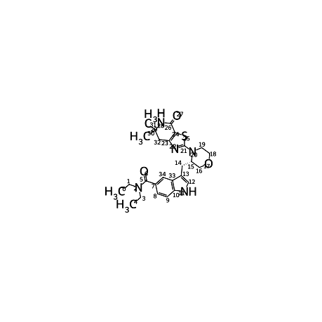 CCN(CC)C(=O)c1ccc2[nH]cc(C[C@H]3COCCN3c3nc4c(s3)C(=O)NC(C)(C)C4)c2c1